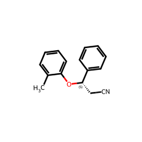 Cc1ccccc1O[C@@H](CC#N)c1ccccc1